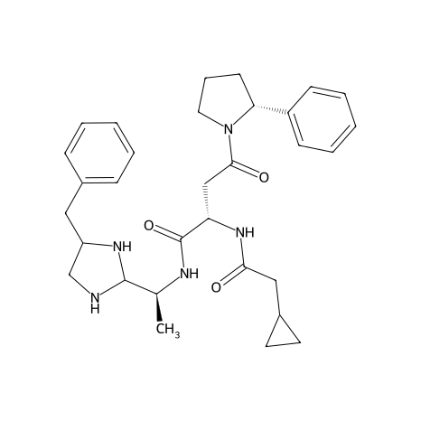 C[C@H](NC(=O)[C@H](CC(=O)N1CCC[C@@H]1c1ccccc1)NC(=O)CC1CC1)C1NCC(Cc2ccccc2)N1